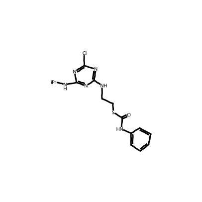 CC(C)Nc1nc(Cl)nc(NCCSC(=O)Nc2ccccc2)n1